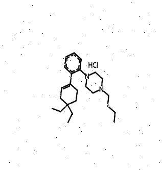 CCCCN1CCN(c2ccccc2C2=CCC(CC)(CC)CC2)CC1.Cl